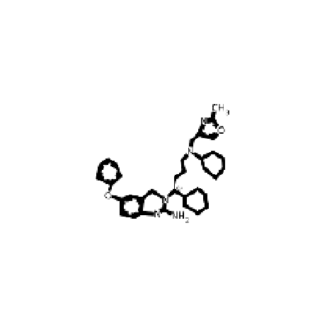 Cc1nc(CN(CCC[C@@H](C2CCCCC2)N2Cc3cc(Oc4ccccc4)ccc3N=C2N)C2CCCCC2)co1